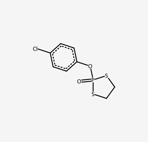 O=P1(Oc2ccc(Cl)cc2)SCCS1